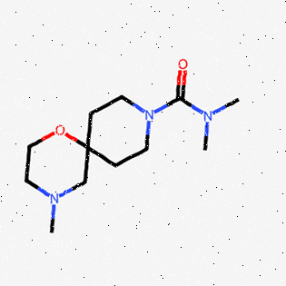 CN1CCOC2(CCN(C(=O)N(C)C)CC2)C1